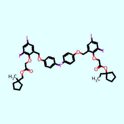 CCC1(OC(=O)COc2c(I)cc(I)cc2COc2ccc([I+]c3ccc(OCc4cc(I)cc(I)c4OCC(=O)OCC4(C)CCCC4)cc3)cc2)CCCC1